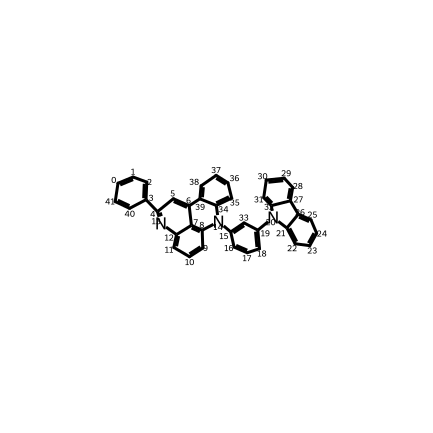 c1ccc(-c2cc3c4c(cccc4n2)N(c2cccc(-n4c5ccccc5c5ccccc54)c2)c2ccccc2-3)cc1